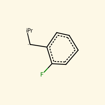 CC(C)[CH]c1ccccc1F